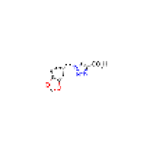 O=C(O)c1cn(Cc2ccc3c(c2)OCO3)nn1